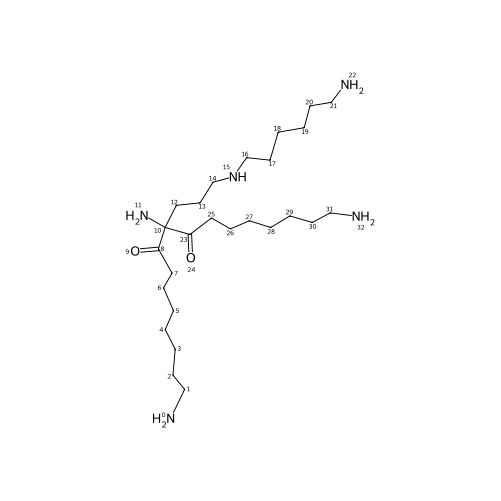 NCCCCCCCC(=O)C(N)(CCCNCCCCCCN)C(=O)CCCCCCCN